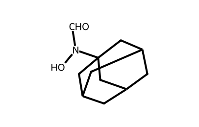 O=CN(O)C12CC3CC(CC(C3)C1)C2